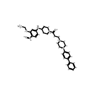 CCOc1cc(NC2CCN(C(=O)CCN3CCN(c4ccc(-c5ccccc5)cc4)CC3)CC2)ccc1N=O